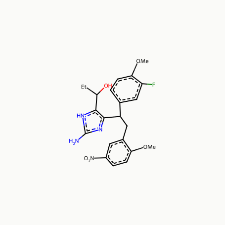 CCC(O)c1[nH]c(N)nc1C(Cc1cc([N+](=O)[O-])ccc1OC)c1ccc(OC)c(F)c1